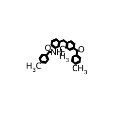 Cc1ccc(C(=O)c2ccc(Cc3ccc4c(c3)NC(c3ccc(C)cc3)O4)c(C)c2)cc1